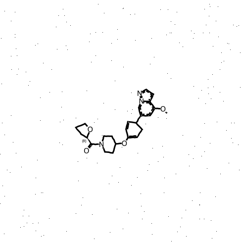 COc1cc(C2C=CC(OC3CCN(C(=O)[C@H]4CCCO4)CC3)=CC2)cn2nccc12